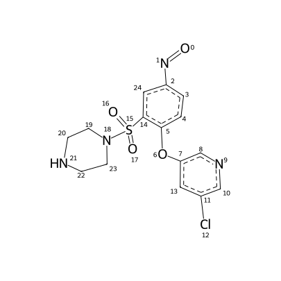 O=Nc1ccc(Oc2cncc(Cl)c2)c(S(=O)(=O)N2CCNCC2)c1